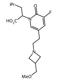 COCC1CN(CCc2cc(F)c(=O)n(C(CC(C)C)C(=O)O)c2)C1